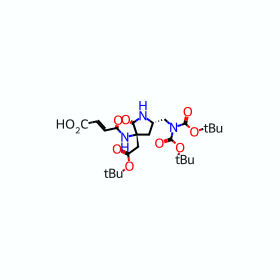 CC(C)(C)OC(=O)C[C@]1(NC(=O)C=CC(=O)O)C[C@@H](CN(C(=O)OC(C)(C)C)C(=O)OC(C)(C)C)NC1=O